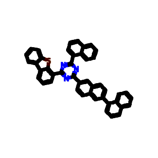 c1ccc2c(-c3ccc4cc(-c5nc(-c6cccc7ccccc67)nc(-c6cccc7c6sc6ccccc67)n5)ccc4c3)cccc2c1